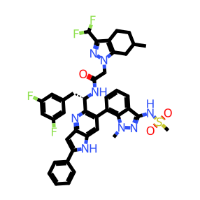 CC1CCc2c(C(F)F)nn(CC(=O)N[C@@H](Cc3cc(F)cc(F)c3)c3nc4cc(-c5ccccc5)[nH]c4cc3-c3cccc4c(NS(C)(=O)=O)nn(C)c34)c2C1